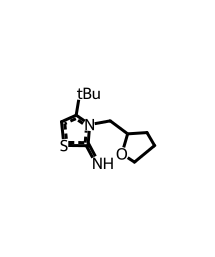 CC(C)(C)c1csc(=N)n1CC1CCCO1